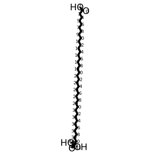 O=C(O)CCCCCCCCCCCCCCCCCCCCCCCCCCCCCCCCCCCCCCP(=O)(O)O